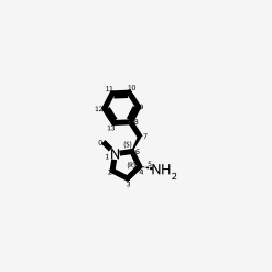 CN1CC[C@@H](N)[C@@H]1Cc1ccccc1